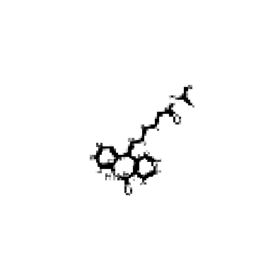 CC(C)OC(=O)CCCCC=C1c2ccccc2NC(=O)c2ccncc21